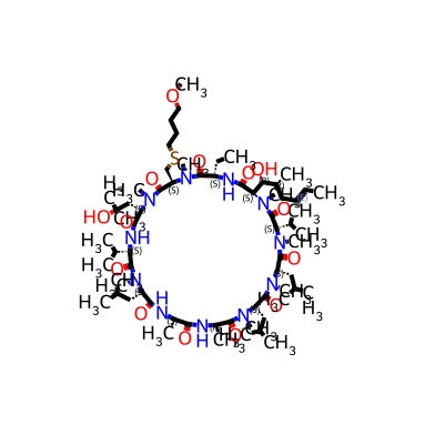 C/C=C/C[C@@H](C)[C@@H](O)[C@H]1C(=O)N[C@@H](CC)C(=O)N(C)[C@H](CSCCCCOC)C(=O)N(C)[C@@H](CC(C)(C)O)C(=O)N[C@@H](C(C)C)C(=O)N(C)[C@@H](CC(C)C)C(=O)N[C@@H](C)C(=O)N[C@H](C)C(=O)N(C)[C@@H](CC(C)C)C(=O)N(C)[C@@H](CC(C)C)C(=O)N(C)[C@@H](C(C)C)C(=O)N1C